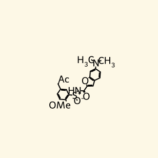 COc1ccc(CC(C)=O)cc1[S+]([O-])NC(=O)c1cc2ccc(N(C)C)cc2o1